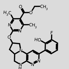 CCOC(=O)c1c(C)nc(OC2CC3CNc4nnc(-c5cccc(F)c5O)cc4N3C2)nc1C